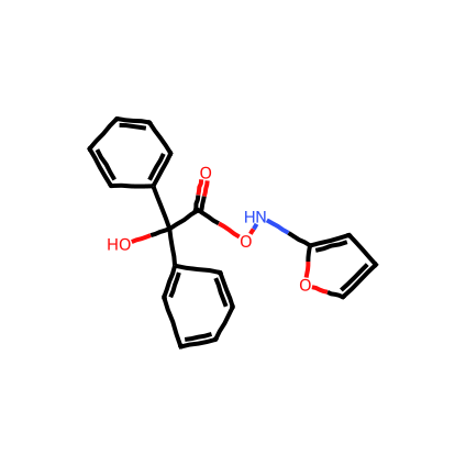 O=C(ONc1ccco1)C(O)(c1ccccc1)c1ccccc1